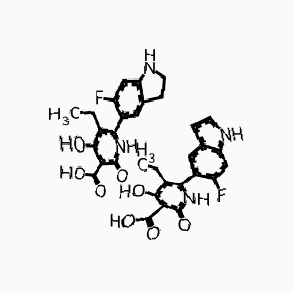 CCc1c(-c2cc3c(cc2F)NCC3)[nH]c(=O)c(C(=O)O)c1O.CCc1c(-c2cc3cc[nH]c3cc2F)[nH]c(=O)c(C(=O)O)c1O